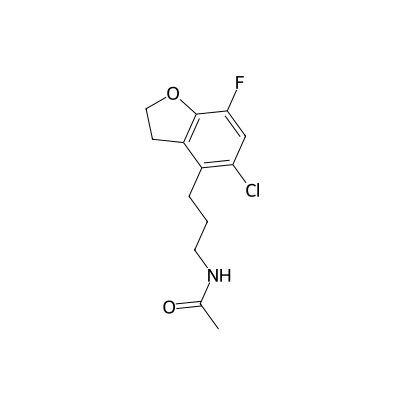 CC(=O)NCCCc1c(Cl)cc(F)c2c1CCO2